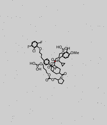 COc1ccc(CN(C(=O)C2C(c3ccc(CCCOc4c(F)ccc(F)c4Cl)cc3)CC3CC(C(=O)N4CCCC4COC(=O)OCCCCON(O)O)CC2N3C(=O)OCCCCON(O)O)C2CC2)cc1C